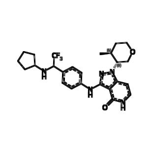 C[C@H]1CCOC[C@@H]1n1nc(Nc2ccc(C(NC3CCCC3)C(F)(F)F)cc2)c2c(=O)[nH]ccc21